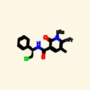 CCCCn1c(CCC)c(C)cc(C(=O)N[C@H](CCl)c2ccccc2)c1=O